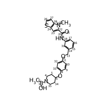 CB(O)N1CCC(Oc2ccc(OCc3cccc(NC(=O)c4cc5sccc5n4C)c3)cc2)CC1